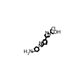 NC[C@H]1CC[C@H](n2cc3ccc(-c4cnn(C(CO)CCl)c4)cc3n2)CC1